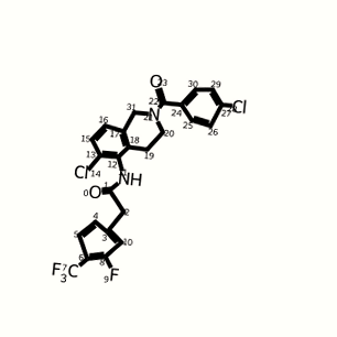 O=C(Cc1ccc(C(F)(F)F)c(F)c1)Nc1c(Cl)ccc2c1CCN(C(=O)c1ccc(Cl)cc1)C2